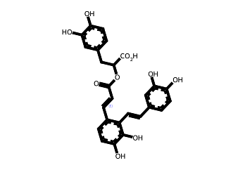 O=C(/C=C/c1ccc(O)c(O)c1C=Cc1ccc(O)c(O)c1)OC(Cc1ccc(O)c(O)c1)C(=O)O